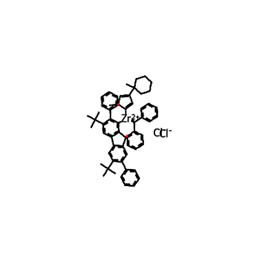 CC1C=C(C2(C)CCCCC2)C=[C]1[Zr+2](=[C](c1ccccc1)c1ccccc1)[c]1c2c(cc(C(C)(C)C)c1-c1ccccc1)-c1cc(C(C)(C)C)c(-c3ccccc3)cc1C2.[Cl-].[Cl-]